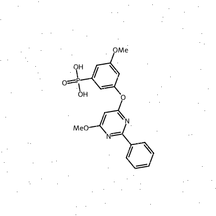 COc1cc(Oc2cc(OC)nc(-c3ccccc3)n2)cc(P(=O)(O)O)c1